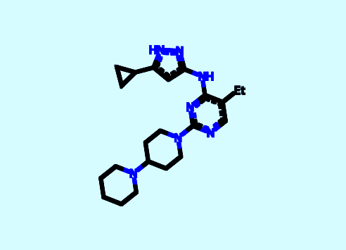 CCc1cnc(N2CCC(N3CCCCC3)CC2)nc1Nc1cc(C2CC2)[nH]n1